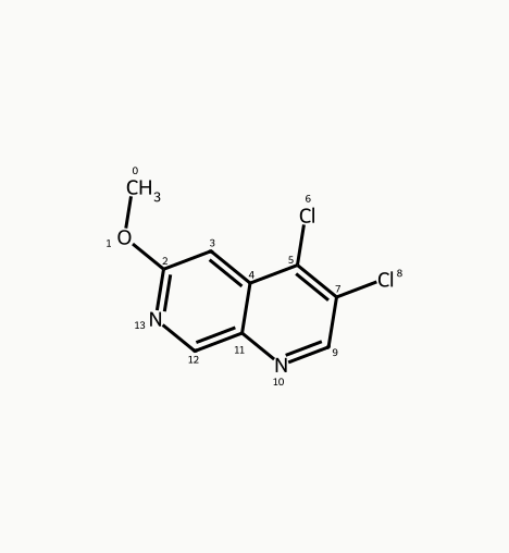 COc1cc2c(Cl)c(Cl)cnc2cn1